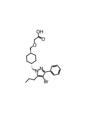 CCCc1c(Br)c(-c2ccccc2)nn1C[C@H]1CC[C@H](COCC(=O)O)CC1